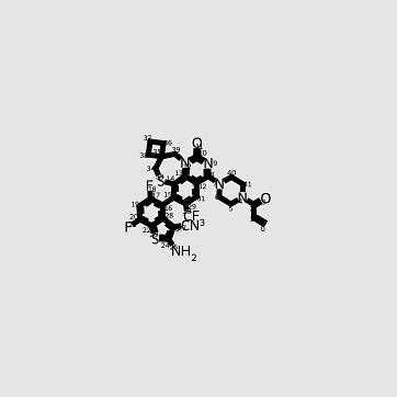 C=CC(=O)N1CCN(c2nc(=O)n3c4c(c(-c5c(F)cc(F)c6sc(N)c(C#N)c56)c(C(F)(F)F)cc24)SCC2(CCC2)C3)CC1